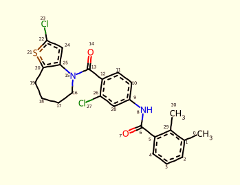 Cc1cccc(C(=O)Nc2ccc(C(=O)N3CCCCc4sc(Cl)cc43)c(Cl)c2)c1C